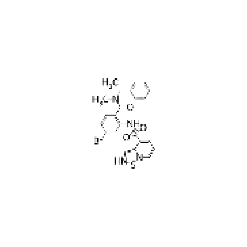 C[C@H](c1ccccc1)N(C)C(=O)c1ccc(Br)cc1NS(=O)(=O)C1=CC=CN2SNC=C12